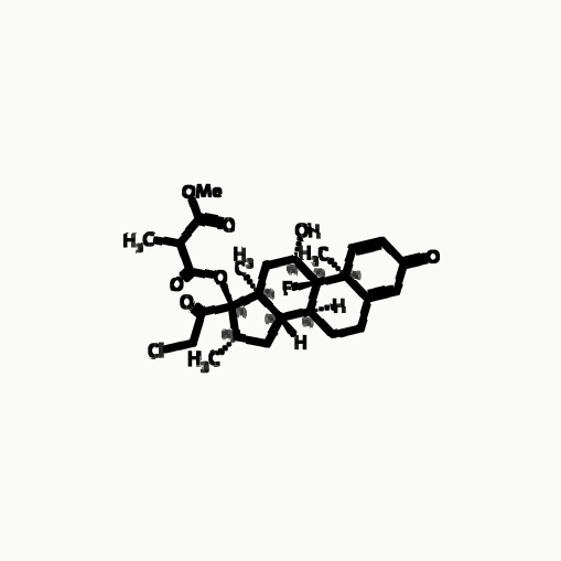 COC(=O)C(C)C(=O)O[C@]1(C(=O)CCl)[C@@H](C)C[C@H]2[C@@H]3CCC4=CC(=O)C=C[C@]4(C)[C@@]3(F)[C@@H](O)C[C@@]21C